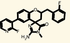 CN1C(=O)C2(CC(Cc3ccccc3F)Oc3ccc(-c4cccnc4F)cc32)N=C1N